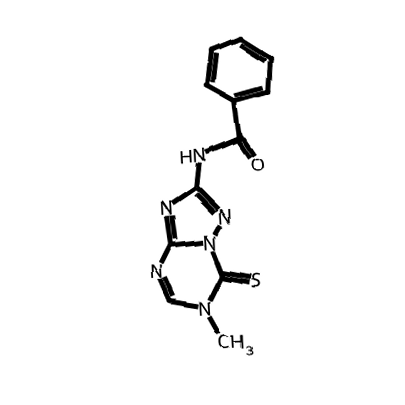 Cn1cnc2nc(NC(=O)c3ccccc3)nn2c1=S